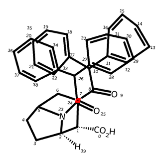 O=C(O)[C@@H]1[C@H]2CCC(CN1C(=O)C(c1ccccc1)c1ccccc1)N2C(=O)C(c1ccccc1)c1ccccc1